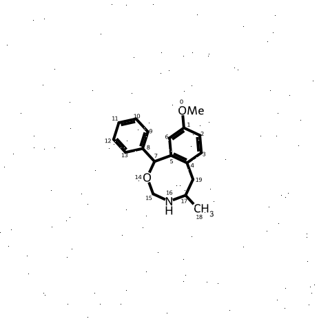 COc1ccc2c(c1)C(c1ccccc1)OCNC(C)C2